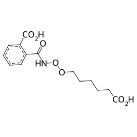 O=C(O)CCCCCOONC(=O)c1ccccc1C(=O)O